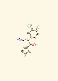 N#CC(c1ccc(Cl)c(Cl)c1)C(O)c1ccsc1